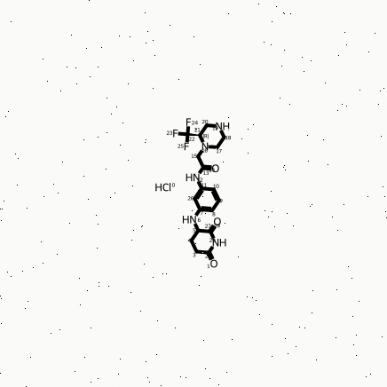 Cl.O=C1CCC(Nc2cccc(NC(=O)CN3CCNC[C@@H]3C(F)(F)F)c2)C(=O)N1